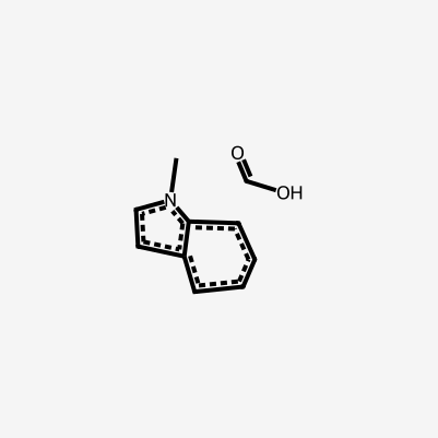 Cn1ccc2ccccc21.O=CO